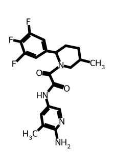 Cc1cc(NC(=O)C(=O)N2CC(C)CCC2c2cc(F)c(F)c(F)c2)cnc1N